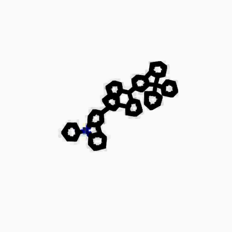 c1ccc(C(c2ccc3c(c2)C(c2ccccc2)(c2ccccc2)c2ccccc2-3)c2ccccc2-c2cccc(-c3ccc4c(c3)c3ccccc3n4-c3ccccc3)c2)cc1